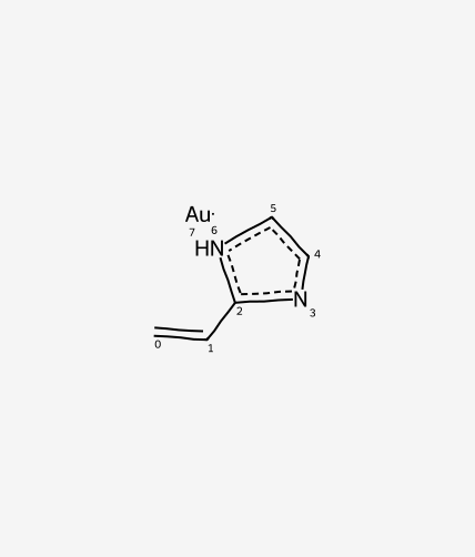 C=Cc1ncc[nH]1.[Au]